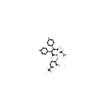 Cc1ccc(-c2c(-c3ccc(Cl)cc3)c3nnc(C(C)O)n3n(Cc3ccc(C(F)(F)F)nc3C)c2=O)cc1